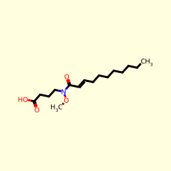 CCCCCCCCC=CC(=O)N(CCCC(=O)O)OC